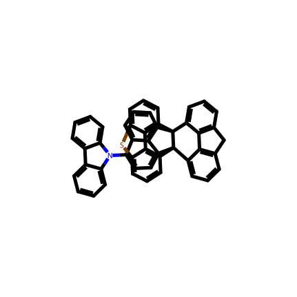 c1cc2c3c(c1)C14c5cccc6c(-n7c8ccccc8c8ccccc87)ccc(c56)C1(c1cccc(c1-3)C2)c1cccc2sc3cccc4c3c12